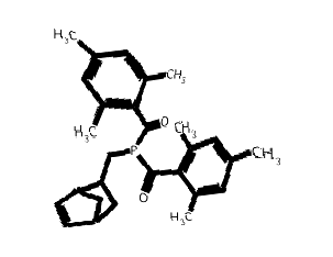 Cc1cc(C)c(C(=O)P(CC2CC3C=CC2C3)C(=O)c2c(C)cc(C)cc2C)c(C)c1